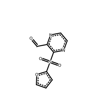 O=[C]c1nccnc1S(=O)(=O)c1ccco1